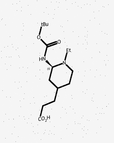 CCN1CCC(CCC(=O)O)C[C@H]1NC(=O)OC(C)(C)C